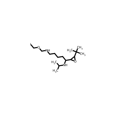 CC(C)NC(CCCCNCOCI)C1OC1C(C)(C)C